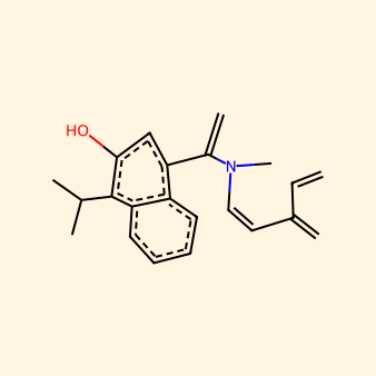 C=CC(=C)/C=C\N(C)C(=C)c1cc(O)c(C(C)C)c2ccccc12